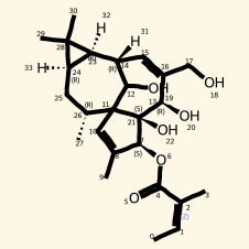 C/C=C(/C)C(=O)O[C@H]1C(C)=CC23C(O)[C@@H](C=C(CO)[C@@H](O)[C@]12O)[C@H]1[C@@H](C[C@H]3C)C1(C)C